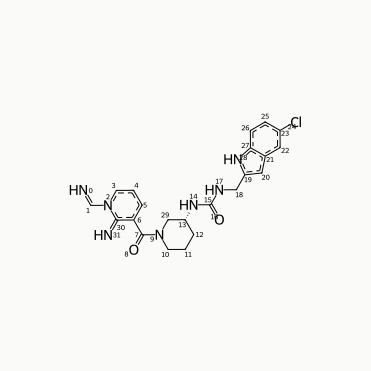 N=Cn1cccc(C(=O)N2CCC[C@@H](NC(=O)NCc3cc4cc(Cl)ccc4[nH]3)C2)c1=N